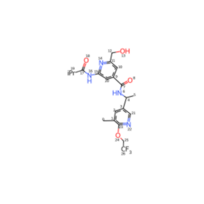 Cc1cc(C(C)NC(=O)c2cc(CO)nc(NC(=O)C(C)C)c2)cnc1OCC(F)(F)F